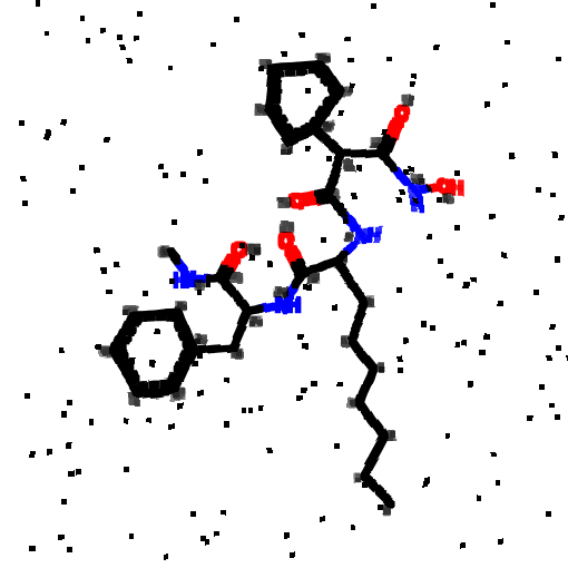 CCCCCCCC(NC(=O)C(C(=O)NO)c1ccccc1)C(=O)NC(Cc1ccccc1)C(=O)NC